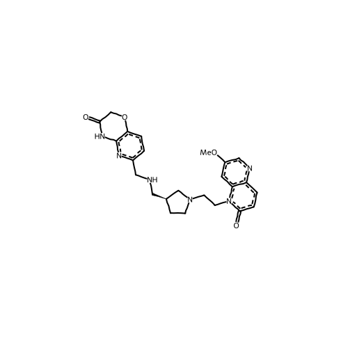 COc1cnc2ccc(=O)n(CCN3CC[C@@H](CNCc4ccc5c(n4)NC(=O)CO5)C3)c2c1